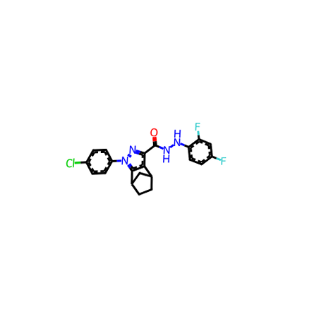 O=C(NNc1ccc(F)cc1F)c1nn(-c2ccc(Cl)cc2)c2c1C1CCC2C1